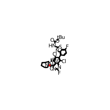 CC(C)(C)OC(=O)Nc1nc2c(-c3c(Cl)cc4c(N5CC6CCC(C5)N6C(=O)OC(C)(C)C)nc(F)nc4c3Cl)ccc(F)c2s1